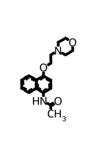 CC(=O)Nc1ccc(OCCN2CCOCC2)c2ccccc12